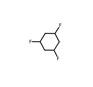 FC1[CH]C(F)CC(F)C1